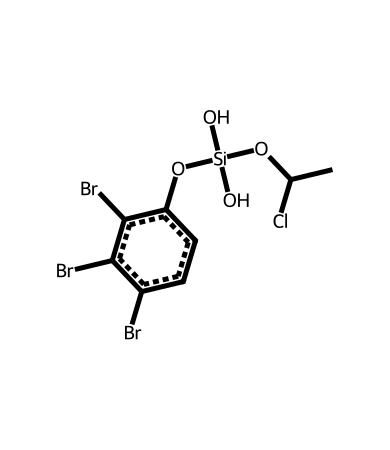 CC(Cl)O[Si](O)(O)Oc1ccc(Br)c(Br)c1Br